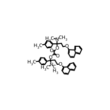 Cc1ccc(C(CCOc2cccc3ccccc23)(OC(=O)C(=O)OC(CCOc2cccc3ccccc23)(c2ccc(C)cc2)N(C)C)N(C)C)cc1